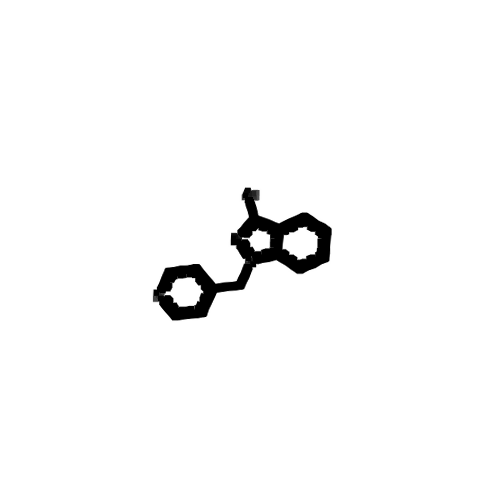 CC(=O)c1nn(Cc2ccncc2)c2ccccc12